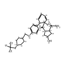 CCC(F)(CC)CN1CCC(COc2ccc(C3C=CC=CC3(F)C(=O)N3CC(O)CC3C(N)=O)cc2)CC1